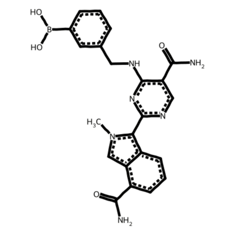 Cn1cc2c(C(N)=O)cccc2c1-c1ncc(C(N)=O)c(NCc2cccc(B(O)O)c2)n1